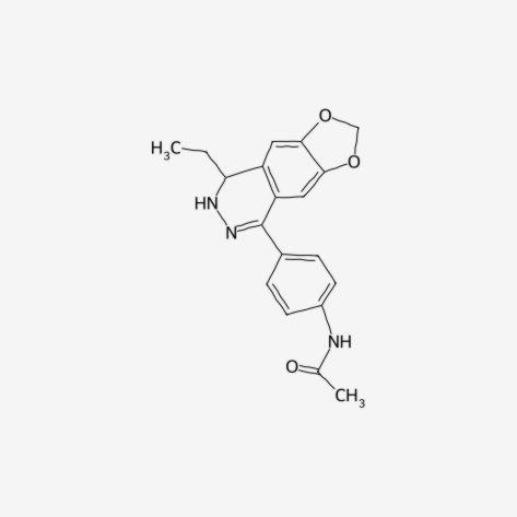 CCC1NN=C(c2ccc(NC(C)=O)cc2)c2cc3c(cc21)OCO3